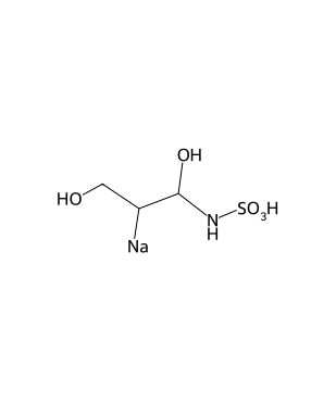 O=S(=O)(O)NC(O)[CH]([Na])CO